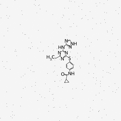 CCc1nc(Nc2nc[nH]n2)nc(Sc2ccc(NC(=O)C3CC3)cc2)n1